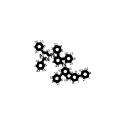 c1ccc(-c2ccc3c(c2)-c2cc(-n4c5ccccc5c5c6c7ccccc7n(-c7cc(-c8ccccc8)nc(-c8ccccc8)n7)c6ccc54)cc(-c4ccccc4)c2C3)cc1